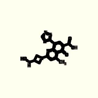 Cc1cc(N2CC(NO)C2)nc2c1c(=O)c(C(=O)O)cn2-c1ncns1